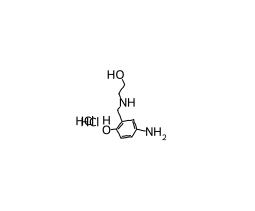 Cl.Cl.Nc1ccc(O)c(CNCCO)c1